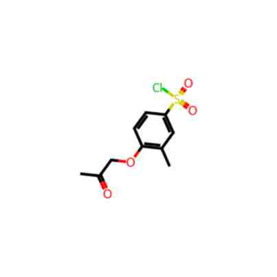 CC(=O)COc1ccc(S(=O)(=O)Cl)cc1C